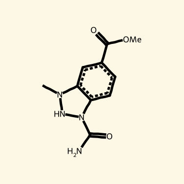 COC(=O)c1ccc2c(c1)N(C)NN2C(N)=O